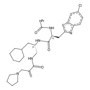 C=C(CN1CCCC1)C(=O)NC[C@H](CC1CCCCC1)NC(=O)[C@H](Cc1nc2ccc(Cl)cc2s1)NC(=O)CCC